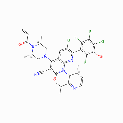 C=CC(=O)N1[C@H](C)CN(c2c(C#N)c(=O)n(C3C(C(C)C)=NC=C[C@H]3C)c3nc(-c4c(F)c(O)c(Cl)c(F)c4F)c(Cl)cc23)C[C@@H]1C